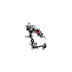 C=C(CCCCCN1C(=O)C=CC1=O)N[C@@H](C)C(=O)N[C@H](C)C(=O)Nc1ccc(CSP(=O)(O)OC[C@H]2O[C@@H](n3cnc4c(=O)[nH]c(N)nc43)[C@H](OP(=O)(O)OC[C@@]34CO[C@@H]([C@H](N5C=NC6C(N)=NC=NC65)O3)[C@@H]4C)[C@@H]2O)cc1